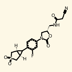 N#CCC(=O)NC[C@H]1CN(c2ccc(C3[C@H]4CS(=O)(=O)C[C@@H]34)c(F)c2)C(=O)O1